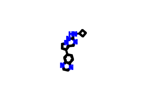 c1cnc2cc(-c3ccn4nc(NC5CCC5)ncc34)ccc2n1